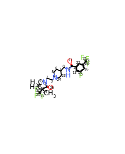 CN(CCN1CCC(CNC(=O)c2cc(F)cc(C(F)(F)F)c2)CC1)C(=O)C(C)(C)C(F)(F)F